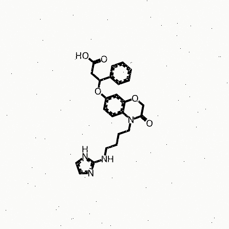 O=C(O)CC(Oc1ccc2c(c1)OCC(=O)N2CCCCNc1ncc[nH]1)c1ccccc1